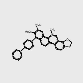 COc1cc2c(ccc3c4ccc5c(c4c[n+](C)c23)OCC5)c(-c2ccc(-c3ccccc3)cc2)c1OC